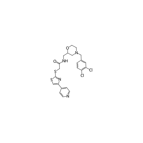 O=C(CSc1nc(-c2ccncc2)cs1)NCC1CN(Cc2ccc(Cl)c(Cl)c2)CCO1